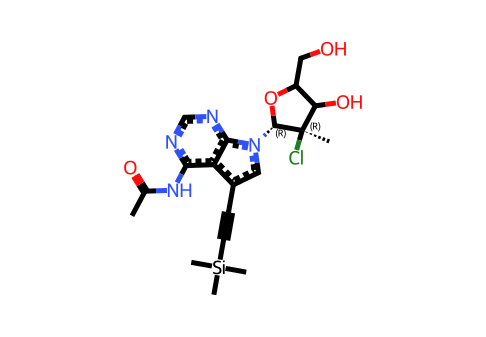 CC(=O)Nc1ncnc2c1c(C#C[Si](C)(C)C)cn2[C@@H]1OC(CO)C(O)[C@@]1(C)Cl